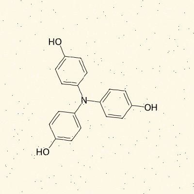 Oc1ccc(N(c2ccc(O)cc2)c2ccc(O)cc2)cc1